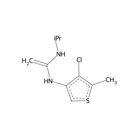 C=C(Nc1csc(C)c1Cl)NC(C)C